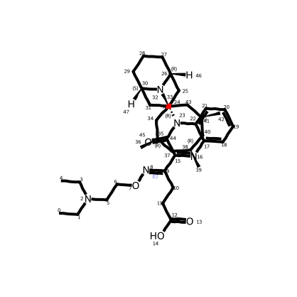 CCN(CC)CCO/N=C(\CCC(=O)O)c1nc2ccccc2n([C@H]2C[C@H]3CCC[C@@H](C2)N3[C@@H]2C[C@H](C)C[C@H](C)C[C@H](C)C2)c1=O